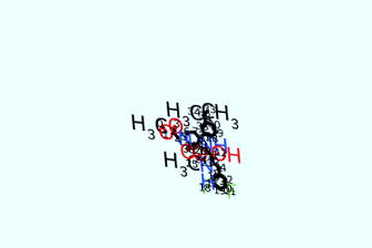 COC(=O)CN1CCC(NC[C@@H](O)C(Cc2cc(F)cc(F)c2)NC(C)=O)(c2cccc(C(C)C)c2)CC1=O